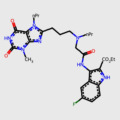 CCCN(CCCc1nc2c(c(=O)[nH]c(=O)n2C)n1CCC)CC(=O)Nc1c(C(=O)OCC)[nH]c2ccc(F)cc12